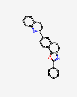 c1ccc(-c2nc3ccc4cc(-c5ccc6ccccc6n5)ccc4c3o2)cc1